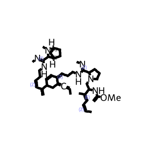 C=C(NC(CN1CCCC1/C(=N/C)NCC/C=C1/C=CC(C(=C)/C=C\CCN/C(=N\C)C2[C@H]3CC[C@H](C3)N2C)CC1=C=CC)/C(C)=C/C=C\C)OC